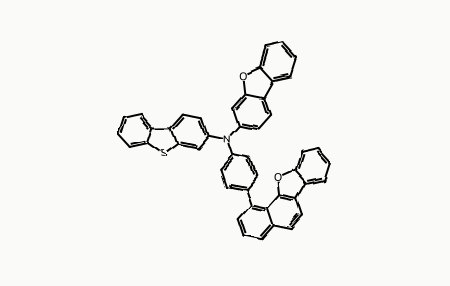 c1cc(-c2ccc(N(c3ccc4c(c3)oc3ccccc34)c3ccc4c(c3)sc3ccccc34)cc2)c2c(c1)ccc1c3ccccc3oc12